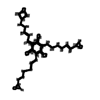 O=c1n(CCCCCCC2CO2)c(=O)n(CCCCCC2COC2)c(=O)n1CCCCCCC1CO1